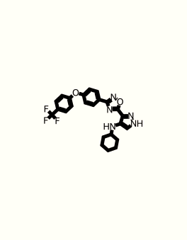 FC(F)(F)c1ccc(Oc2ccc(-c3noc(-c4n[nH]cc4NC4CCCCC4)n3)cc2)cc1